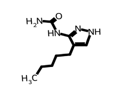 CCCCCc1c[nH]nc1NC(N)=O